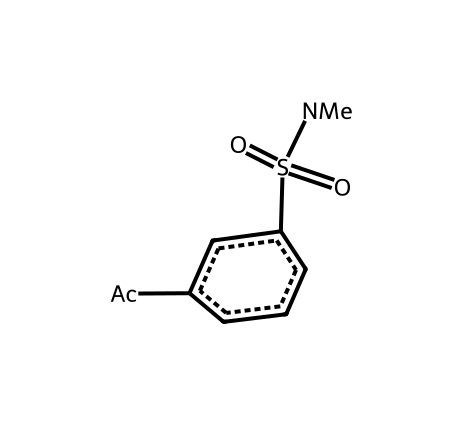 CNS(=O)(=O)c1cccc(C(C)=O)c1